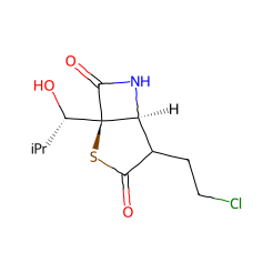 CC(C)[C@H](O)[C@@]12SC(=O)C(CCCl)[C@@H]1NC2=O